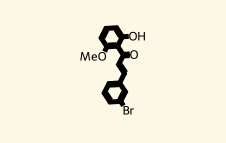 COc1cccc(O)c1C(=O)C=Cc1cccc(Br)c1